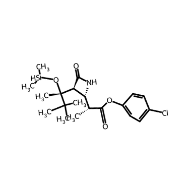 C[C@@H](C(=O)Oc1ccc(Cl)cc1)[C@H]1NC(=O)[C@@H]1[C@@](C)(O[SiH](C)C)C(C)(C)C